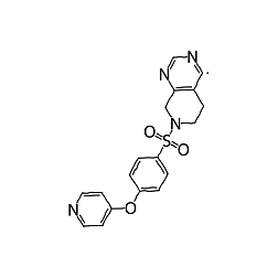 O=S(=O)(c1ccc(Oc2ccncc2)cc1)N1CCc2[c]ncnc2C1